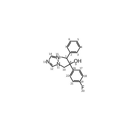 CC(c1ccccc1)C(O)(Cn1cncn1)c1ccc(F)cc1